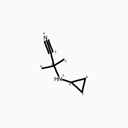 CC(C)(C#N)NC1CC1